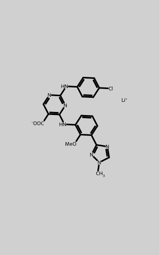 COc1c(Nc2nc(Nc3ccc(Cl)cc3)ncc2C(=O)[O-])cccc1-c1ncn(C)n1.[Li+]